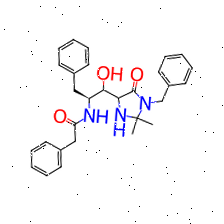 CC1(C)NC(C(O)[C@H](Cc2ccccc2)NC(=O)Cc2ccccc2)C(=O)N1Cc1ccccc1